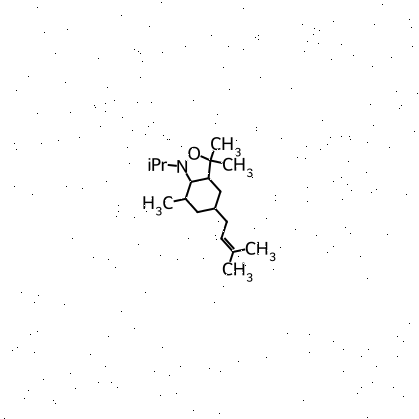 CC(C)=CCC1CC(C)C2C(C1)C(C)(C)ON2C(C)C